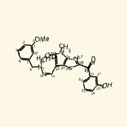 COc1cccc(CN(C=O)/N=C\c2c(C)n(C)c3nc(C(=O)c4cccc(O)c4)sc23)c1